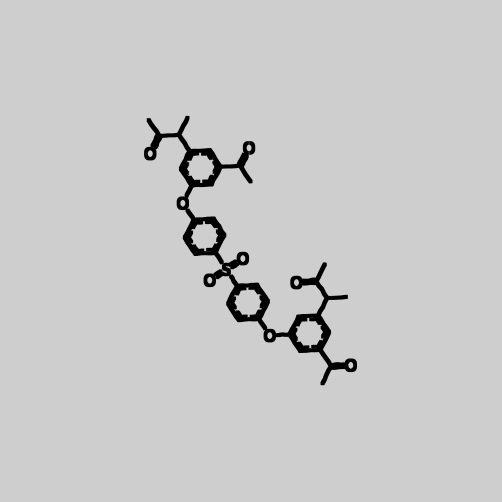 CC(=O)c1cc(Oc2ccc(S(=O)(=O)c3ccc(Oc4cc(C(C)=O)cc(C(C)C(C)=O)c4)cc3)cc2)cc(C(C)C(C)=O)c1